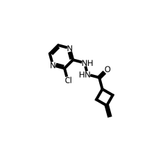 C=C1CC(C(=O)NNc2nccnc2Cl)C1